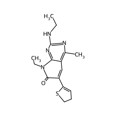 CCNc1nc(C)c2cc(C3=CCCS3)c(=O)n(CC)c2n1